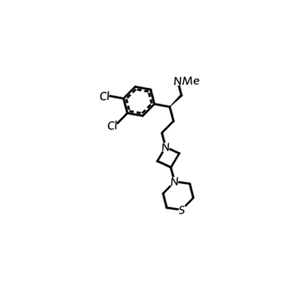 CNC[C@@H](CCN1CC(N2CCSCC2)C1)c1ccc(Cl)c(Cl)c1